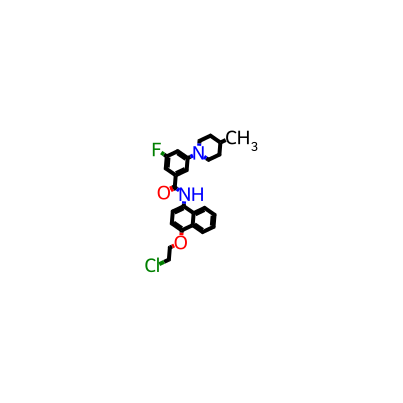 CC1CCN(c2cc(F)cc(C(=O)Nc3ccc(OCCCl)c4ccccc34)c2)CC1